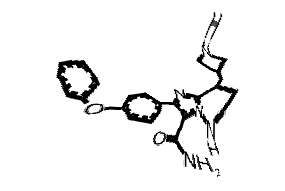 NC(=O)c1c(-c2ccc(Oc3ccccc3)cc2)nc2n1NCCC2C1CNC1